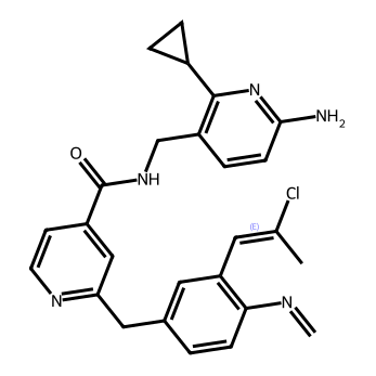 C=Nc1ccc(Cc2cc(C(=O)NCc3ccc(N)nc3C3CC3)ccn2)cc1/C=C(\C)Cl